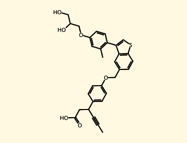 CC#CC(CC(=O)O)c1ccc(OCc2ccc3scc(-c4ccc(OCC(O)CO)cc4C)c3c2)cc1